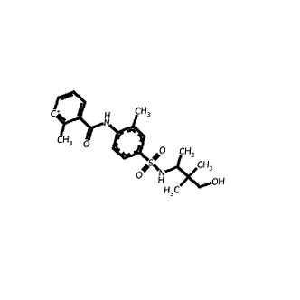 CC1=[C+]C=CC=C1C(=O)Nc1ccc(S(=O)(=O)NC(C)C(C)(C)CO)cc1C